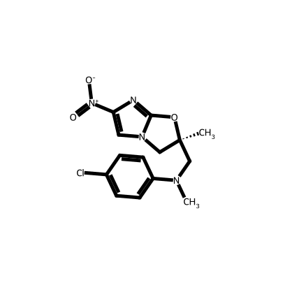 CN(C[C@@]1(C)Cn2cc([N+](=O)[O-])nc2O1)c1ccc(Cl)cc1